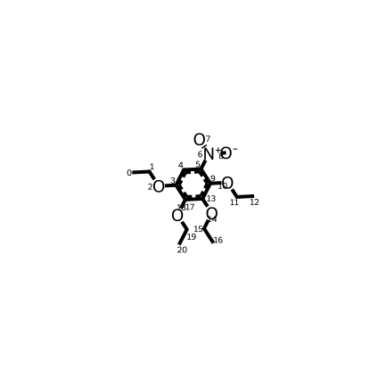 CCOc1cc([N+](=O)[O-])c(OCC)c(OCC)c1OCC